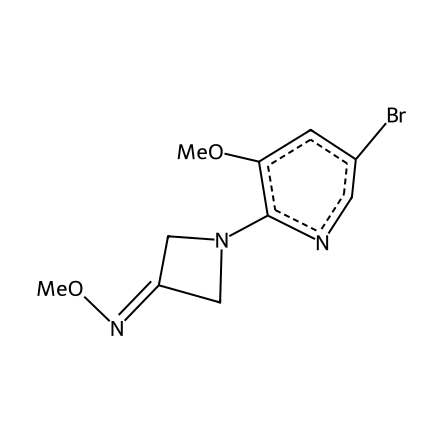 CON=C1CN(c2ncc(Br)cc2OC)C1